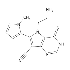 Cn1cccc1-c1c(C#N)c2nc[nH]c(=S)c2n1CCN